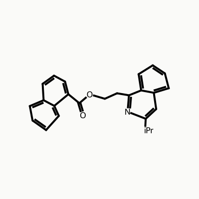 CC(C)c1cc2ccccc2c(CCOC(=O)c2cccc3ccccc23)n1